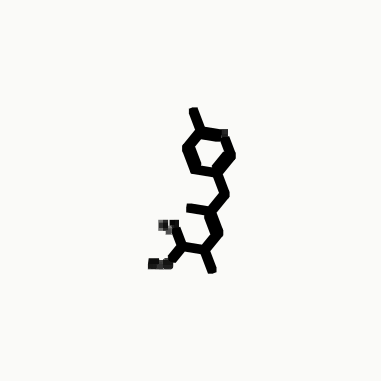 COC(N)C(C)/C=C(\C)Cc1ccc(C)nc1